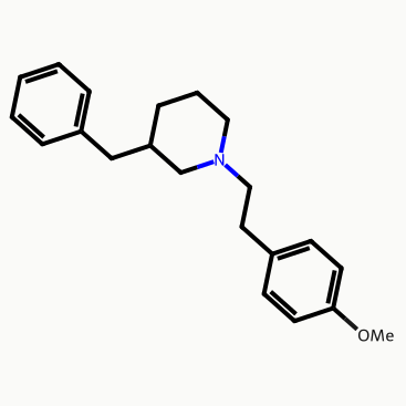 COc1ccc(CCN2CCCC(Cc3ccccc3)C2)cc1